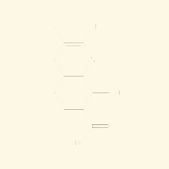 O=C(O)c1ccc2cc(Cl)c(Cl)nc2c1O